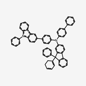 C1=CCCC(C2(c3ccccc3)c3ccccc3-c3ccc(N(c4ccc(-c5ccccc5)cc4)c4ccc(-c5ccc6c(c5)c5ccccc5n6-c5ccccc5)cc4)cc32)=C1